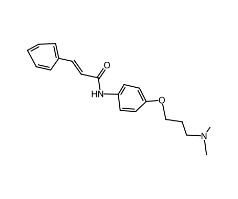 CN(C)CCCOc1ccc(NC(=O)C=Cc2ccccc2)cc1